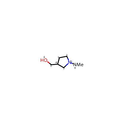 CNN1CCC(CO)C1